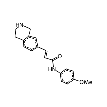 COc1ccc(NC(=O)C=Cc2ccc3c(c2)CNCC3)cc1